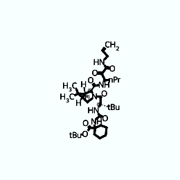 C=CCNC(=O)C(=O)C(CCC)NC(=O)[C@@H]1[C@@H]2[C@H](CN1C(=O)[C@@H](NC(=O)NC1(C(=O)OC(C)(C)C)CCCCC1)C(C)(C)C)C2(C)C